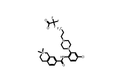 C[N+]1(C)CCc2ccc(C(=O)Nc3ccc(Cl)cc3N3CCN(CCC(F)(F)F)CC3)cc2C1.O=C([O-])C(F)(F)F